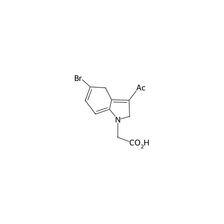 CC(=O)C1=C2CC(Br)=CC=C2N(CC(=O)O)C1